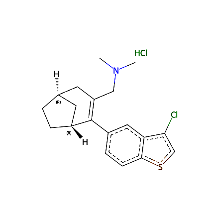 CN(C)CC1=C(c2ccc3scc(Cl)c3c2)[C@@H]2CC[C@@H](C1)C2.Cl